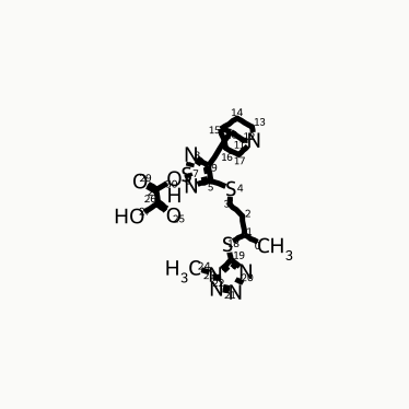 CC(CCSc1nsnc1C1CN2CCC1CC2)Sc1nnnn1C.O=C(O)C(=O)O